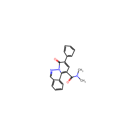 CN(C)C(=O)c1cc(-c2ccccc2)c(=O)n2ncc3ccccc3c12